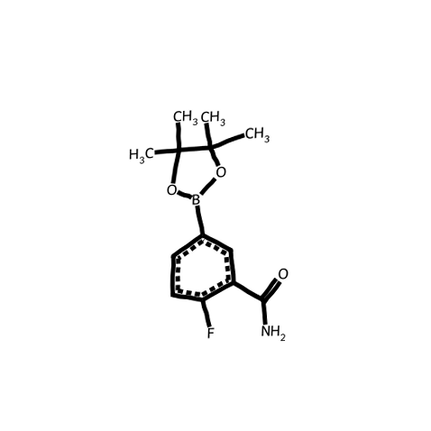 CC1(C)OB(c2ccc(F)c(C(N)=O)c2)OC1(C)C